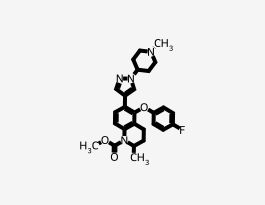 COC(=O)N1c2ccc(-c3cnn(C4CCN(C)CC4)c3)c(Oc3ccc(F)cc3)c2CCC1C